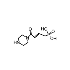 O=C(/C=C/CP(=O)(O)O)N1CCNCC1